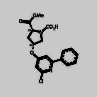 COC(=O)[C@@H]1C[C@@H](Oc2cc(Cl)nc(-c3ccccc3)c2)CN1C(=O)O